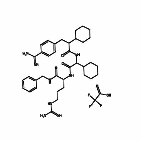 N=C(N)NCCCC(NC(=O)C(NC(=O)C(Cc1ccc(C(=N)N)cc1)C1CCCCC1)C1CCCCC1)C(=O)NCc1ccccc1.O=C(O)C(F)(F)F